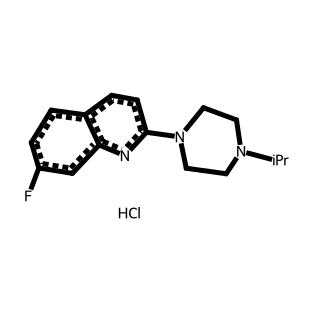 CC(C)N1CCN(c2ccc3ccc(F)cc3n2)CC1.Cl